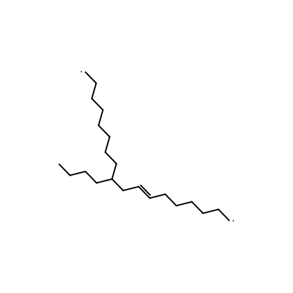 [CH2]CCCCC/C=C/CC(CCCC)CCCCCCC[CH2]